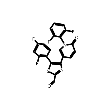 O=Cc1nc(-c2ccc(=O)n(-c3c(F)cccc3F)c2)c(-c2ccc(F)cc2F)s1